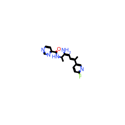 C/C(=C\C=C(\N)C(C)NC(=O)c1ccncn1)c1ccc(F)nc1